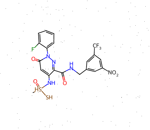 C[SH](=O)(S)Nc1cc(=O)n(-c2ccccc2F)nc1C(=O)NCc1cc([N+](=O)[O-])cc(C(F)(F)F)c1